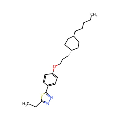 CCCCC[C@H]1CC[C@H](CCCOc2ccc(-c3nnc(CC)s3)cc2)CC1